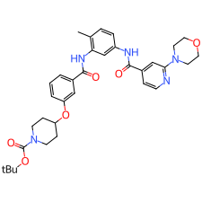 Cc1ccc(NC(=O)c2ccnc(N3CCOCC3)c2)cc1NC(=O)c1cccc(OC2CCN(C(=O)OC(C)(C)C)CC2)c1